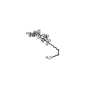 CCCCC/C=C\C/C=C\CCCCCCCC(=O)Nc1nc(Cl)nc2c1ncn2[C@@H]1O[C@H](CNP(=O)(O)CP(=O)(O)O)C(O)C1O